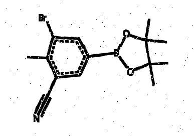 Cc1c(Br)cc(B2OC(C)(C)C(C)(C)O2)cc1C#N